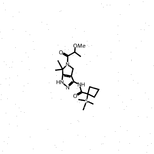 COC(C)C(=O)N1Cc2c(NC(=O)C3(S(C)(C)C)CCC3)n[nH]c2C1(C)C